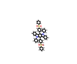 O=S(=O)(c1ccccc1)c1ccc(-c2c3c4ccccc4n(-c4ccccc4)c3c(-c3ccc(S(=O)(=O)c4ccccc4)cc3)c3c4ccccc4n(-c4ccccc4)c23)cc1